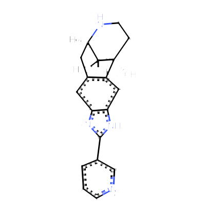 CC1(C)[C@H]2Cc3cc4nc(-c5cccnc5)[nH]c4cc3[C@]1(C)CCN2